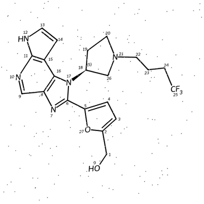 OCc1ccc(-c2nc3cnc4[nH]ccc4c3n2[C@H]2CCN(CCCC(F)(F)F)C2)o1